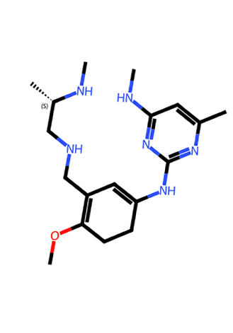 CNc1cc(C)nc(NC2=CC(CNC[C@H](C)NC)=C(OC)CC2)n1